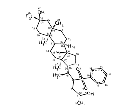 C[C@H](C(C[C@@H](C)O)S(=O)(=O)c1ccccc1)[C@H]1CC[C@H]2[C@@H]3CC[C@@]4(C)C[C@](O)(C(F)(F)F)CC[C@]4(C)C3CC[C@]12C